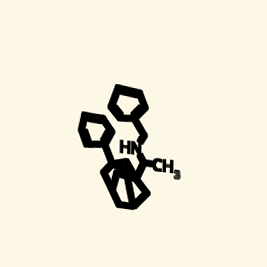 CC(NCc1ccccc1)C12CC3CC(CC(c4ccccc4)(C3)C1)C2